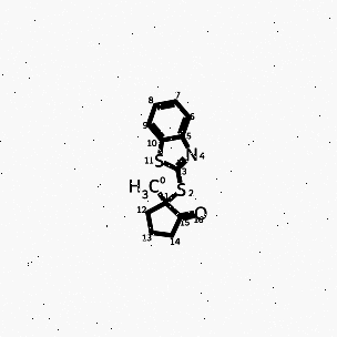 CC1(Sc2nc3ccccc3s2)CCCC1=O